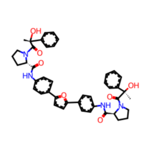 C[C@](O)(C(=O)N1CCC[C@H]1C(=O)Nc1ccc(-c2ccc(-c3ccc(NC(=O)[C@@H]4CCCN4C(=O)[C@](C)(O)c4ccccc4)cc3)o2)cc1)c1ccccc1